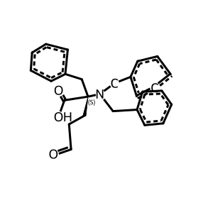 O=CCC[C@](Cc1ccccc1)(C(=O)O)N(Cc1ccccc1)Cc1ccccc1